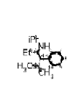 CC[C@H](NC(C)C)[C@H](c1ccccc1)N(C)C